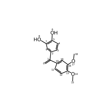 C=C(c1ccc(O)c(O)c1)c1ccc(OC)c(OC)c1